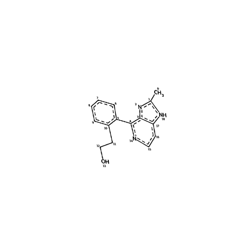 Cc1nc2c(-c3ccccc3CCO)nccc2[nH]1